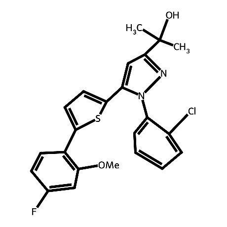 COc1cc(F)ccc1-c1ccc(-c2cc(C(C)(C)O)nn2-c2ccccc2Cl)s1